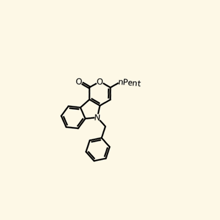 CCCCCc1cc2c(c(=O)o1)c1ccccc1n2Cc1ccccc1